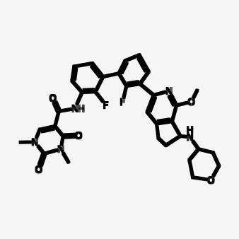 COc1nc(-c2cccc(-c3cccc(NC(=O)c4cn(C)c(=O)n(C)c4=O)c3F)c2F)cc2c1C(NC1CCOCC1)CC2